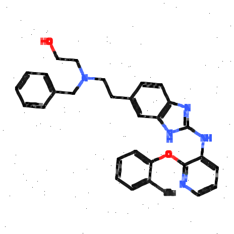 CC(C)(C)c1ccccc1Oc1ncccc1Nc1nc2ccc(CCN(CCO)Cc3ccccc3)cc2[nH]1